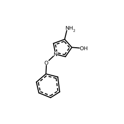 Nc1cn(Oc2ccccc2)cc1O